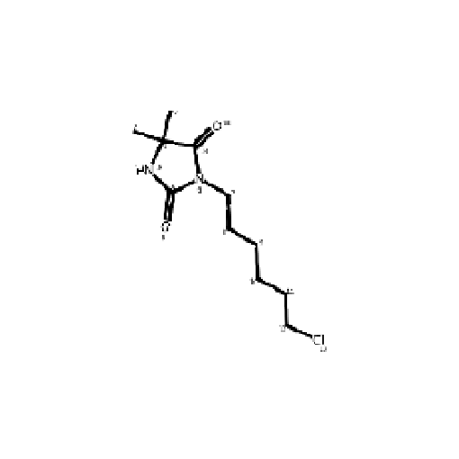 CC1(C)NC(=O)N(CCCCCCCl)C1=O